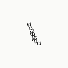 ClCc1ccc(I)c(CN2CCCN(c3nc4ccc(Cl)cc4s3)CC2)c1